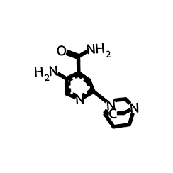 NC(=O)c1cc(N2CCN3CCC2CC3)ncc1N